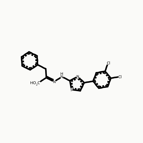 O=C(O)/C(Cc1ccccc1)=N/Nc1nc(-c2ccc(Cl)c(Cl)c2)cs1